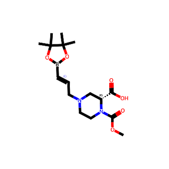 COC(=O)N1CCN(C/C=C/B2OC(C)(C)C(C)(C)O2)C[C@@H]1C(=O)O